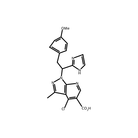 COc1ccc(CC(c2ncc[nH]2)n2nc(C)c3c(Cl)c(C(=O)O)cnc32)cc1